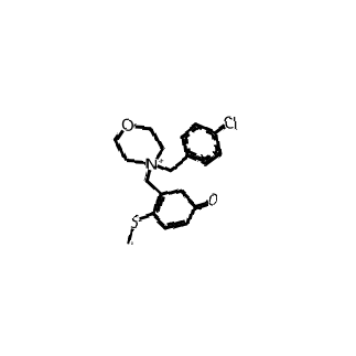 [CH2]SC1=C(C[N+]2(Cc3ccc(Cl)cc3)CCOCC2)CC(=O)C=C1